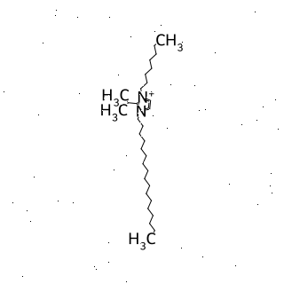 CCCCCCCCCCCCCCCCCn1cc[n+](CCCCCCCC)c1C(C)C